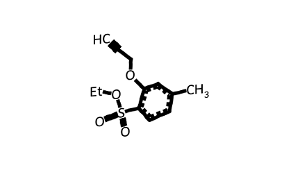 C#CCOc1cc(C)ccc1S(=O)(=O)OCC